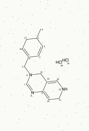 CC1C=CC(CN2C=NC3=CCNC=C3C2)=CC1.Cl.Cl